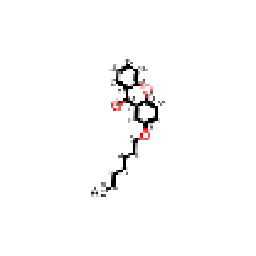 CC(=O)CCCCCCOc1ccc2oc3ccccc3c(=O)c2c1